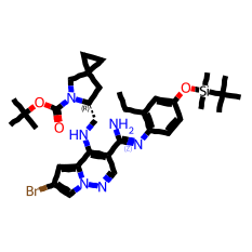 CCc1cc(O[Si](C)(C)C(C)(C)C)ccc1/N=C(\N)c1cnn2cc(Br)cc2c1NC[C@H]1CC2(CC2)CN1C(=O)OC(C)(C)C